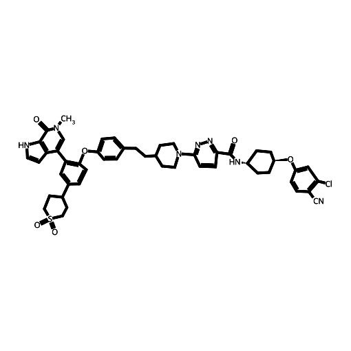 Cn1cc(-c2cc(C3CCS(=O)(=O)CC3)ccc2Oc2ccc(CCC3CCN(c4ccc(C(=O)N[C@H]5CC[C@H](Oc6ccc(C#N)c(Cl)c6)CC5)nn4)CC3)cc2)c2cc[nH]c2c1=O